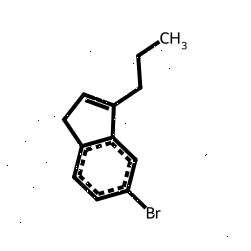 CCCC1=CCc2ccc(Br)cc21